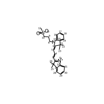 C[N+]1=C(/C=C/C=C2/N(CCCS(C)(=O)=O)c3ccccc3C2(C)C)C(C)(C)c2ccccc21